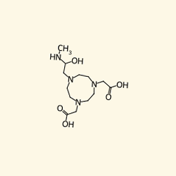 CNC(O)CN1CCN(CC(=O)O)CCN(CC(=O)O)CC1